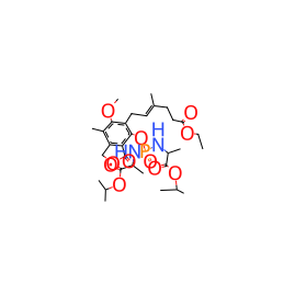 CCOC(=O)CC/C(C)=C/Cc1c(OC)c(C)c2c(c1OP(=O)(NC(C)C(=O)OC(C)C)NC(C)C(=O)OC(C)C)C(=O)OC2